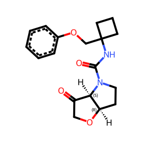 O=C1CO[C@@H]2CCN(C(=O)NC3(COc4ccccc4)CCC3)[C@H]12